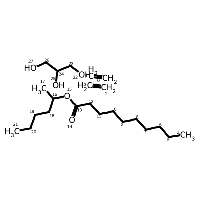 C=C.C=C.CCCCCCCCCC(=O)OC(C)CCCC.OCC(O)CO